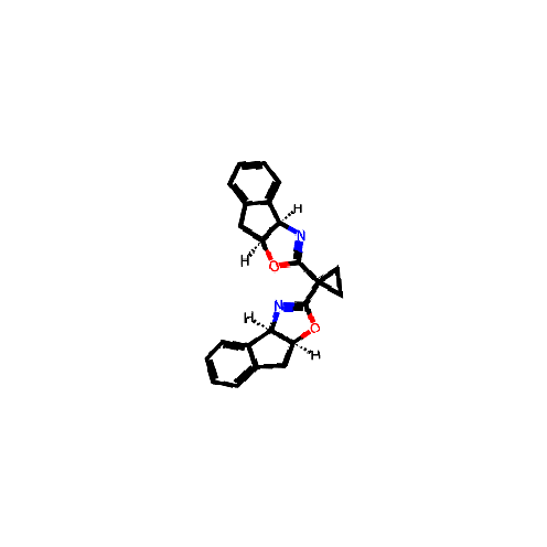 c1ccc2c(c1)C[C@@H]1OC(C3(C4=N[C@@H]5c6ccccc6C[C@@H]5O4)CC3)=N[C@H]21